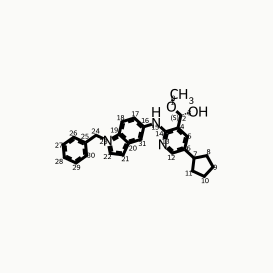 CO[C@H](O)c1cc(C2CCCC2)cnc1Nc1ccc2c(ccn2Cc2ccccc2)c1